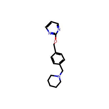 [c]1ccnc(OCc2ccc(CN3CCCCC3)cc2)n1